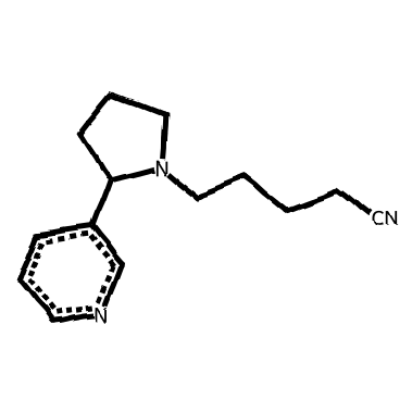 N#CCCCCN1CCCC1c1cccnc1